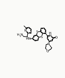 Cc1cccc(C(CN)Nc2ccc3c(c2)Sc2cccc(-c4cc(N5CCOCC5)cc(=O)[nH]4)c2S3)n1